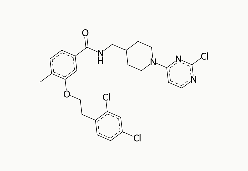 Cc1ccc(C(=O)NCC2CCN(c3ccnc(Cl)n3)CC2)cc1OCCc1ccc(Cl)cc1Cl